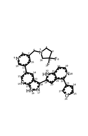 FC1(F)CCN(Cc2cncc(-c3cnc4[nH]nc(-c5cc6c(-c7ccoc7)nccc6[nH]5)c4c3)c2)C1